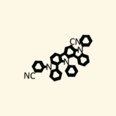 N#Cc1cccc(-n2c3ccccc3c3c2ccc2c4cc(C#N)c5c(c6ccccc6n5-c5ccccc5)c4n(-c4ccccc4)c23)c1